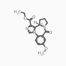 CCOC(=O)c1ncn2c1[C@@H]1CCCN1C(=O)c1cc(OC)ccc1-2